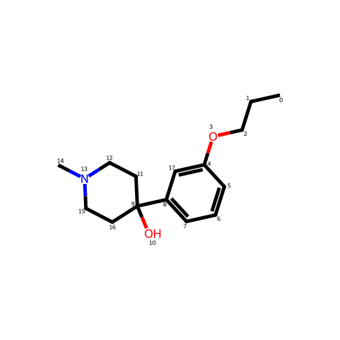 CCCOc1cccc(C2(O)CCN(C)CC2)c1